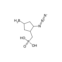 BC1CC(CP(=O)(O)O)C(N=[N+]=[N-])C1